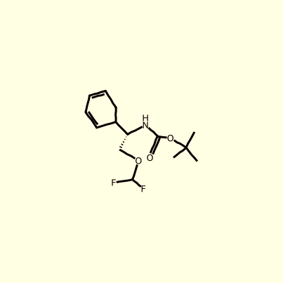 CC(C)(C)OC(=O)N[C@H](COC(F)F)C1C=CC=CC1